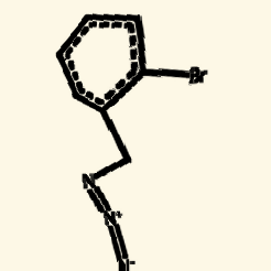 [N-]=[N+]=NCc1ccccc1Br